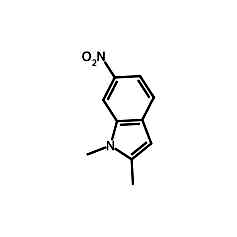 Cc1cc2ccc([N+](=O)[O-])cc2n1C